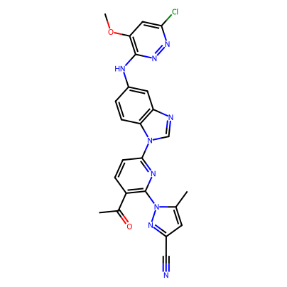 COc1cc(Cl)nnc1Nc1ccc2c(c1)ncn2-c1ccc(C(C)=O)c(-n2nc(C#N)cc2C)n1